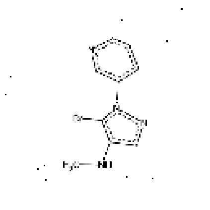 CNc1cnn(-c2cccnc2)c1Br